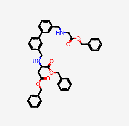 O=C(CNCc1cccc(-c2cccc(CNC(CC(=O)OCc3ccccc3)C(=O)OCc3ccccc3)c2)c1)OCc1ccccc1